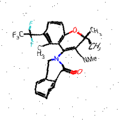 CNC1=C(N2Cc3ccccc3C2=O)c2c(ccc(C(F)(F)C(F)(F)F)c2C)OC1(C)C